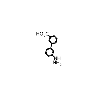 NNc1cccc(-c2cccc(C(=O)O)c2)c1